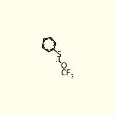 FC(F)(F)O[CH]Sc1ccccc1